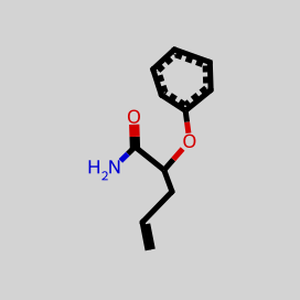 C=CCC(Oc1ccccc1)C(N)=O